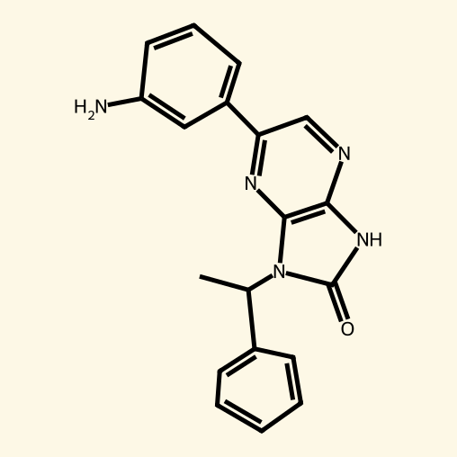 CC(c1ccccc1)n1c(=O)[nH]c2ncc(-c3cccc(N)c3)nc21